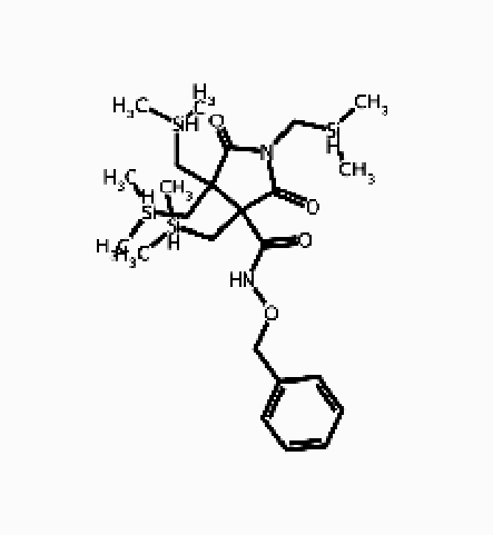 C[SiH](C)CN1C(=O)C(C[SiH](C)C)(C[SiH](C)C)C(C[SiH](C)C)(C(=O)NOCc2ccccc2)C1=O